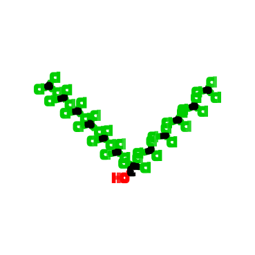 ClC(Cl)Cl.ClC(Cl)Cl.ClC(Cl)Cl.ClC(Cl)Cl.ClC(Cl)Cl.ClC(Cl)Cl.ClC(Cl)Cl.ClC(Cl)Cl.ClC(Cl)Cl.ClC(Cl)Cl.ClC(Cl)Cl.OCC(Cl)(Cl)Cl